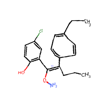 CCC/C(=C(\ON)c1cc(Cl)ccc1O)c1ccc(CC)cc1